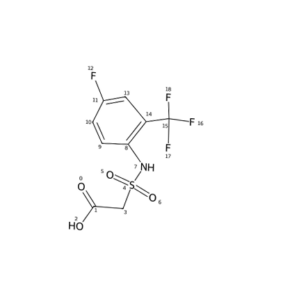 O=C(O)CS(=O)(=O)Nc1ccc(F)cc1C(F)(F)F